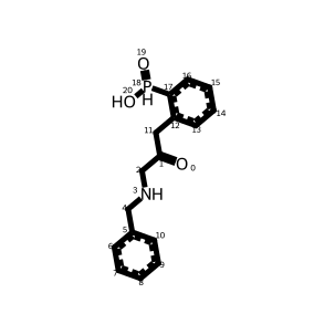 O=C(CNCc1ccccc1)Cc1ccccc1[PH](=O)O